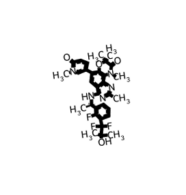 Cc1nc(N[C@H](C)c2cccc(C(F)(F)C(C)(C)O)c2F)c2cc(-c3ccc(=O)n(C)c3)c3c(c2n1)N(C)C(=O)C(C)(C)O3